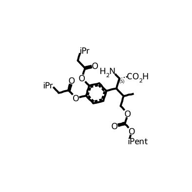 CCCC(C)OC(=O)OCC(C)C(c1ccc(OC(=O)CC(C)C)c(OC(=O)CC(C)C)c1)[C@H](N)C(=O)O